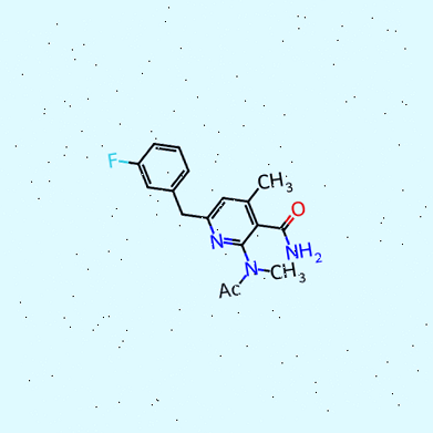 CC(=O)N(C)c1nc(Cc2cccc(F)c2)cc(C)c1C(N)=O